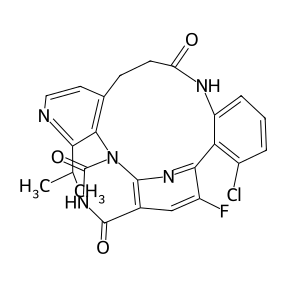 CC(C)c1nccc2c1-n1c(=O)[nH]c(=O)c3cc(F)c(nc31)-c1c(Cl)cccc1NC(=O)CC2